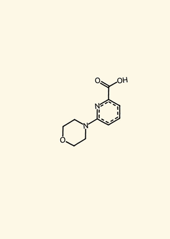 O=C(O)c1cccc(N2CCOCC2)n1